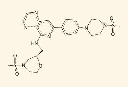 CS(=O)(=O)N1CCN(c2ccc(-c3cc4nccnc4c(NC[C@@H]4CN(S(C)(=O)=O)CCO4)n3)cc2)CC1